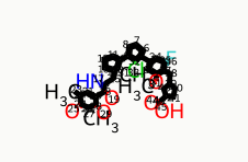 COc1cc(-c2cccc(-c3cccc(CC(=N)C(=O)C4=CC(C)C(=O)C(C)C4=O)c3C)c2Cl)cc(F)c1CC1CCC(C(=O)O)C1